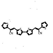 N#C/C(=C\c1ccc(-c2ccc(/C=C(\C#N)c3cccs3)s2)s1)c1cccs1